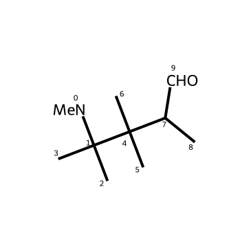 CNC(C)(C)C(C)(C)C(C)C=O